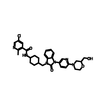 Cc1ncc(Cl)cc1C(=O)NC1CCC(Cn2c(=O)n(-c3ccc(N4CCOC(CO)C4)nc3)c3ccccc32)CC1